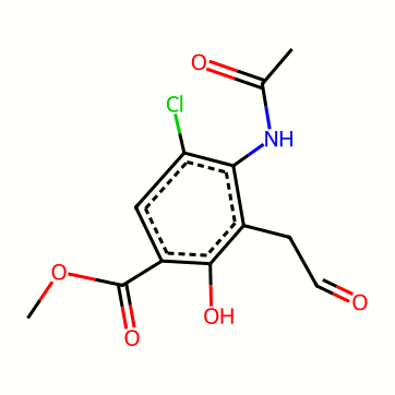 COC(=O)c1cc(Cl)c(NC(C)=O)c(CC=O)c1O